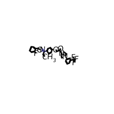 CC/C(=N\OCc1ccccc1F)c1ccc(OCC(=O)N2CCN(c3cccc(C(F)(F)F)c3)CC2)cc1